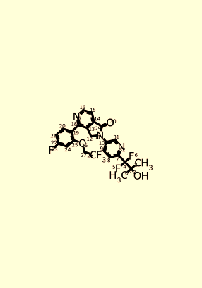 CC(C)(O)C(F)(F)c1ccc(N2Cc3c(ccnc3-c3ccc(F)cc3OCC(F)(F)F)C2=O)cn1